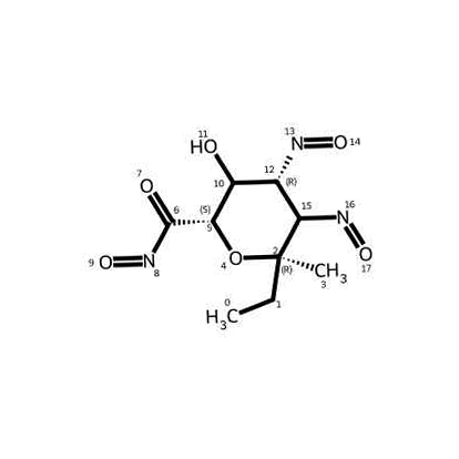 CC[C@@]1(C)O[C@H](C(=O)N=O)C(O)[C@H](N=O)C1N=O